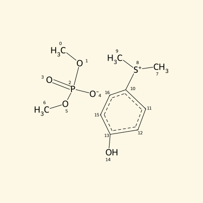 COP(=O)([O-])OC.C[S+](C)c1ccc(O)cc1